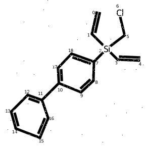 C=C[Si](C=C)(CCl)c1ccc(-c2ccccc2)cc1